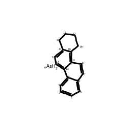 [AsH3].c1ccc2c(c1)ccc1c3c(ccc12)CCCC3